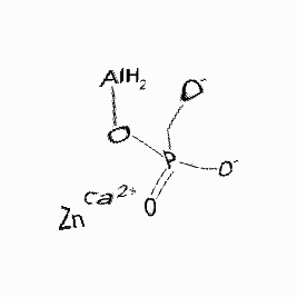 O=P([O-])([O-])[O][AlH2].[Ca+2].[Zn]